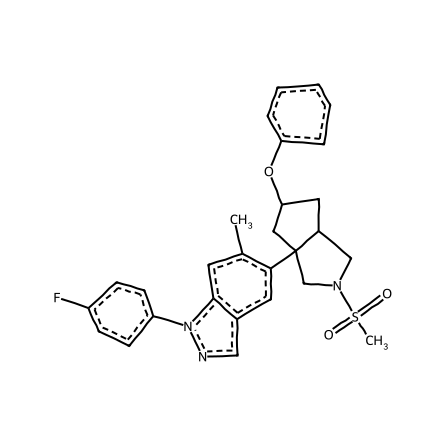 Cc1cc2c(cnn2-c2ccc(F)cc2)cc1C12CC(Oc3ccccc3)CC1CN(S(C)(=O)=O)C2